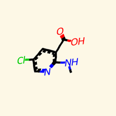 CNc1ncc(Cl)cc1C(=O)O